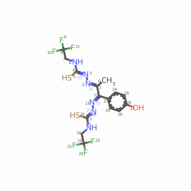 CC(=N\N=C(/S)NCC(F)(F)F)/C(=N/N=C(\S)NCC(F)(F)F)c1ccc(O)cc1